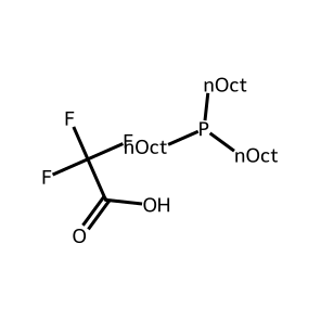 CCCCCCCCP(CCCCCCCC)CCCCCCCC.O=C(O)C(F)(F)F